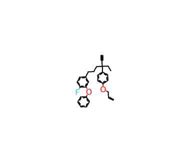 C#CC(CC)(CCCc1ccc(F)c(Oc2ccccc2)c1)c1ccc(OCC=C)cc1